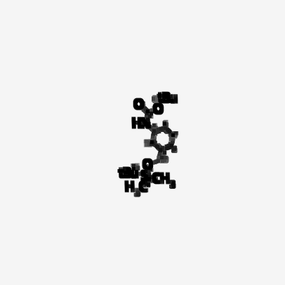 CC(C)(C)OC(=O)Nc1cccc(CO[Si](C)(C)C(C)(C)C)c1